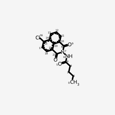 CCCCC(=O)NN1C(=O)c2cccc3c(Cl)ccc(c23)C1=O